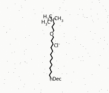 CCCCCCCCCCCCCCCCCCCCCCOCCC[N+](C)(C)C.[Cl-]